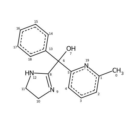 Cc1cccc(C(O)(C2=NCCN2)c2ccccc2)n1